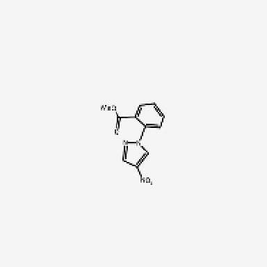 COC(=O)c1ccccc1-n1cc([N+](=O)[O-])cn1